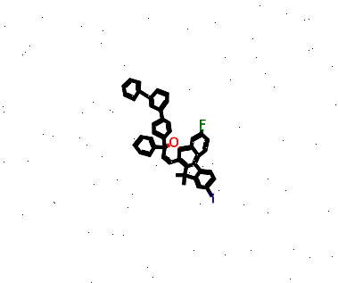 CC1(C)c2cc(I)ccc2-c2c1c1c(c3cc(F)ccc23)OC(c2ccccc2)(c2ccc(-c3cccc(-c4ccccc4)c3)cc2)C=C1